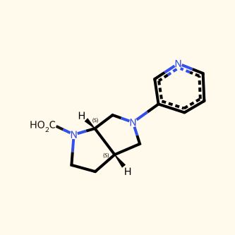 O=C(O)N1CC[C@H]2CN(c3cccnc3)C[C@H]21